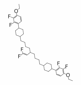 CCOc1ccc(C2CCC(CCCCC(C=C(F)F)CCCCC3CCC(c4ccc(OCC)c(F)c4F)CC3)CC2)c(F)c1F